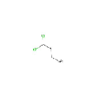 CCCC[CH]C(Cl)Cl